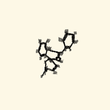 CN1CCC2(C1)OC(c1ccccc1)c1ccccc12